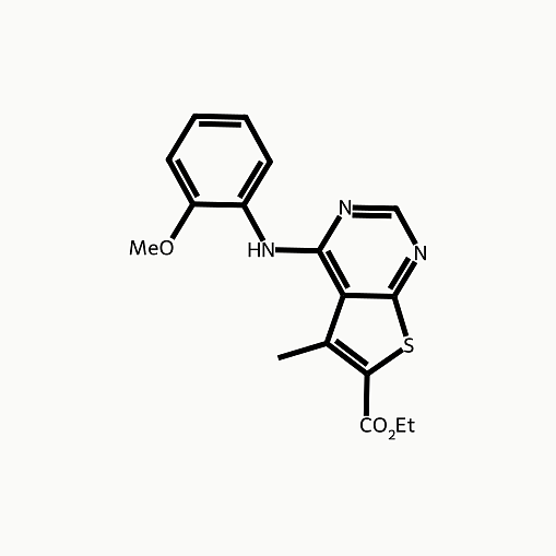 CCOC(=O)c1sc2ncnc(Nc3ccccc3OC)c2c1C